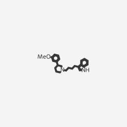 COc1cccc(C2CCCN(CCCCc3c[nH]c4ccccc34)C2)c1